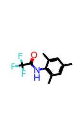 Cc1cc(C)c(NC(=O)C(F)(F)F)c(C)c1